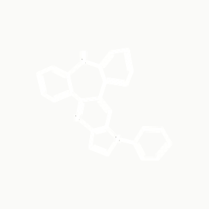 c1ccc(-n2ccc3nc4c(cc32)-c2ccccc2Nc2ccccc2-4)cc1